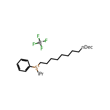 CCCCCCCCCCCCCCCCCC[S+](c1ccccc1)C(C)C.F[B-](F)(F)F